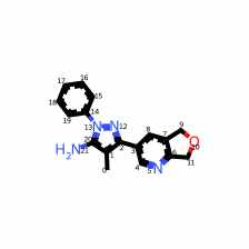 Cc1c(-c2cnc3c(c2)COC3)nn(-c2ccccc2)c1N